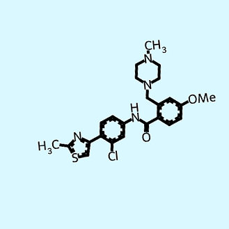 COc1ccc(C(=O)Nc2ccc(-c3csc(C)n3)c(Cl)c2)c(CN2CCN(C)CC2)c1